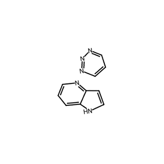 c1cnc2cc[nH]c2c1.c1cnnnc1